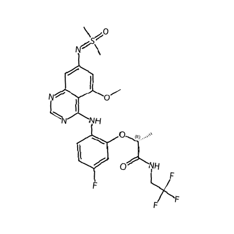 COc1cc(N=S(C)(C)=O)cc2ncnc(Nc3ccc(F)cc3O[C@H](C)C(=O)NCC(F)(F)F)c12